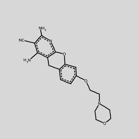 N#Cc1c(N)nc2c(c1N)Cc1ccc(OCCN3CCOCC3)cc1O2